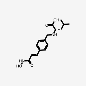 CC(C)C[C@H](NCc1ccc(C=CC(=O)NO)cc1)C(=O)O